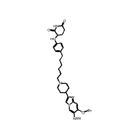 CNc1cn2cc(C3CCN(CCCCCCc4ccc(NC5CCC(=O)NC5=O)cc4)CC3)nc2cc1OC(C)C